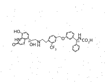 O=C(O)N[C@@H](c1ccccc1)c1cccc(OCc2ccc(CCNC[C@H](O)c3ccc(O)c4[nH]c(=O)ccc34)c(C(F)(F)F)c2)c1